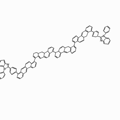 C1=CC(C2=CC=CC3C2=CC=C2C=C4C(c5cccc6c5ccc5cc7c(-c8ccc(-c9nc%10ccccc%10n9-c9ccccc9)cc8)cccc7cc56)=CCCC4CC23)C2C=CC3Cc4c(cccc4-c4cccc5c4C=CC4Cc6c(cccc6C6=CCC(c7nc8ccccc8n7-c7ccccc7)C=C6)C=C54)C=C3C2=C1